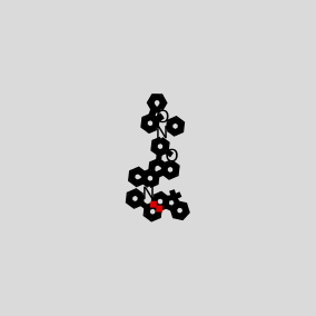 CC1(C)c2ccccc2-c2ccc(N(c3ccccc3-c3ccccc3)c3cc4c5cccc6c5c(cc4c4ccccc34)-c3ccc(N(c4ccccc4)c4cccc5c4oc4ccccc45)cc3O6)cc21